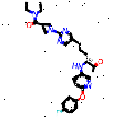 CCN(CC)C(=O)C1CN(c2ncc(CCC[C@@H](Nc3ccc(Oc4ccc(F)cc4)nc3)C(C)=O)cn2)C1